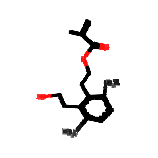 C=C(C)C(=O)OCCc1c(C(=O)O)ccc(C(=O)O)c1CCO